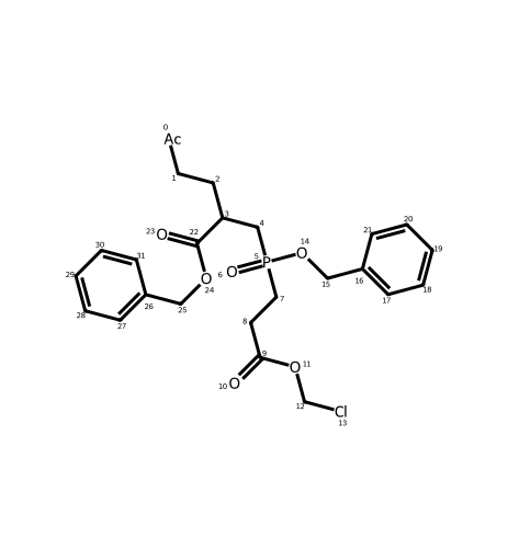 CC(=O)CCC(CP(=O)(CCC(=O)OCCl)OCc1ccccc1)C(=O)OCc1ccccc1